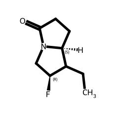 CCC1[C@@H](F)CN2C(=O)CC[C@@H]12